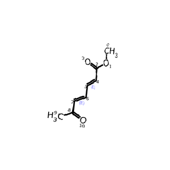 COC(=O)/C=C/C=C/C(C)=O